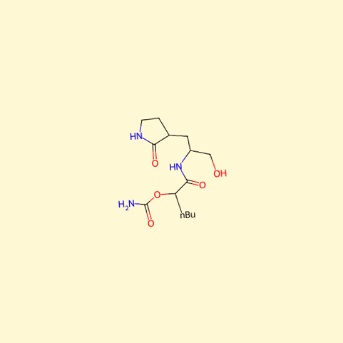 CCCCC(OC(N)=O)C(=O)NC(CO)CC1CCNC1=O